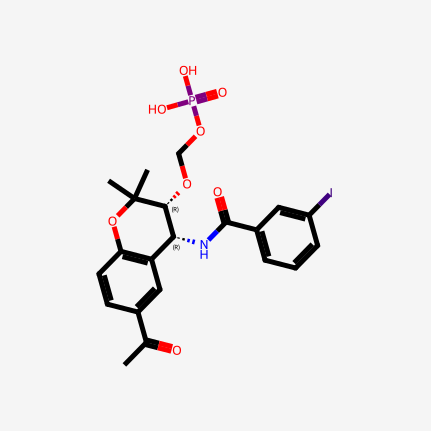 CC(=O)c1ccc2c(c1)[C@@H](NC(=O)c1cccc(I)c1)[C@@H](OCOP(=O)(O)O)C(C)(C)O2